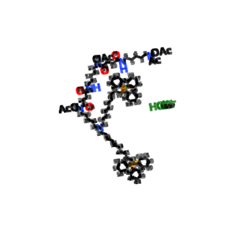 CC(=O)ON(CCCCCNC(=O)CCC(=O)N(CCCCCNC(=O)CCC(=O)N(CCCCCN(CCCCCCCCCC[P+](c1ccccc1)(c1ccccc1)c1ccccc1)CCCCCCCCCC[P+](c1ccccc1)(c1ccccc1)c1ccccc1)OC(C)=O)OC(C)=O)C(C)=O.Cl.[Cl-].[Cl-]